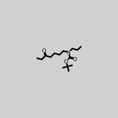 CCCN(CCCCC(=O)CC)C(=O)OC(C)(C)C